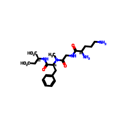 CN(C(=O)CNC(=O)[C@H](N)CCCN)[C@@H](Cc1ccccc1)C(=O)N[C@@H](CC(=O)O)C(=O)O